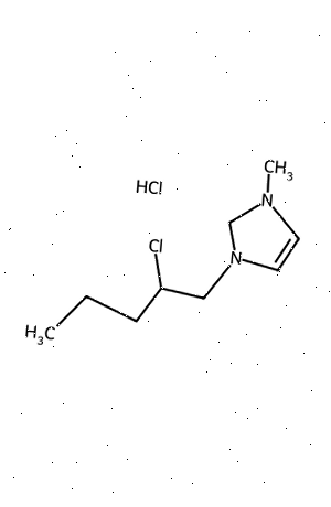 CCCC(Cl)CN1C=CN(C)C1.Cl